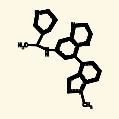 CC(Nc1cc(-c2cccc3c2ccn3C)c2nccnc2c1)c1cccnc1